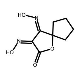 O=C1OC2(CCCC2)C(=NO)C1=NO